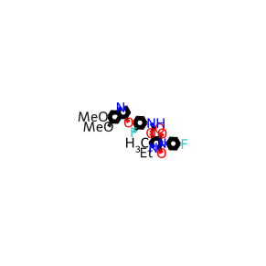 CCn1c(C)c(OC(=O)Nc2ccc(Oc3ccnc4cc(OC)c(OC)cc34)c(F)c2)c(=O)n(-c2ccc(F)cc2)c1=O